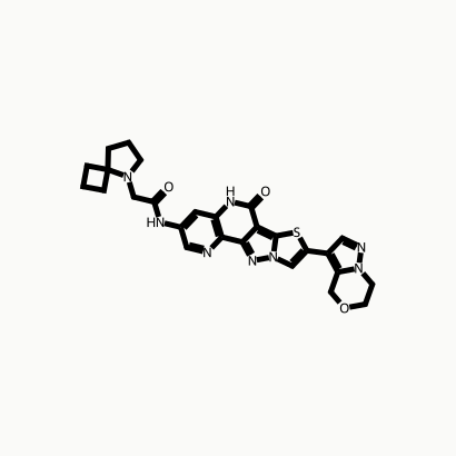 O=C(CN1CCCC12CCC2)Nc1cnc2c(c1)[nH]c(=O)c1c2nn2cc(-c3cnn4c3COCC4)sc12